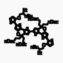 CCCCCCCCCCCCC1(CCCCCCCCCCCC)Oc2cc(-c3sccc3OCC(CC)CCCC)sc2-c2sc(-c3cc4c(s3)-c3sc(-c5sccc5OCC(CC)CCCC)cc3OC4(CCCCCCCCCCCC)CCCCCCCCCCCC)cc21